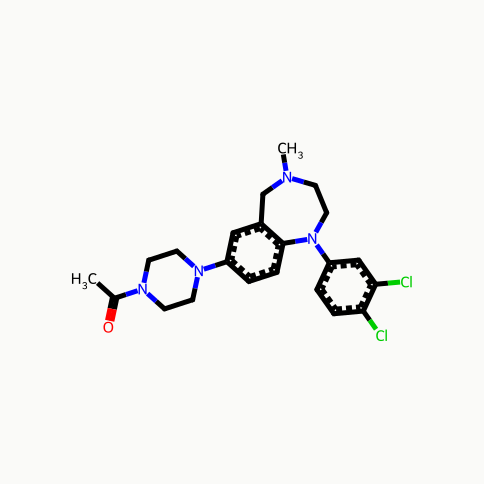 CC(=O)N1CCN(c2ccc3c(c2)CN(C)CCN3c2ccc(Cl)c(Cl)c2)CC1